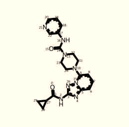 O=C(Nc1nc2cccc(N3CCN(C(=O)Nc4cccnc4)CC3)n2n1)C1CC1